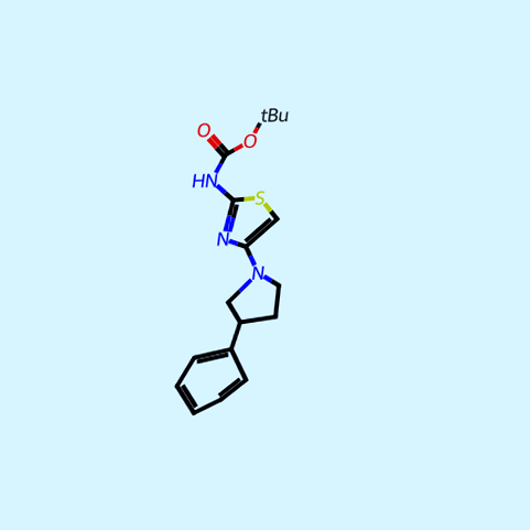 CC(C)(C)OC(=O)Nc1nc(N2CCC(c3ccccc3)C2)cs1